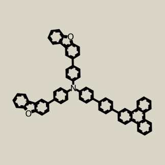 c1ccc2c(c1)oc1ccc(-c3ccc(N(c4ccc(-c5ccc(-c6ccc7c8ccccc8c8ccccc8c7c6)cc5)cc4)c4ccc(-c5ccc6oc7ccccc7c6c5)cc4)cc3)cc12